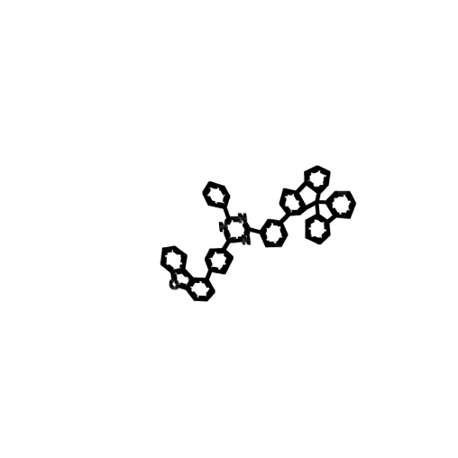 c1ccc(-c2nc(-c3ccc(-c4cccc5oc6ccccc6c45)cc3)nc(-c3cccc(-c4ccc5c(c4)C4(c6ccccc6-c6ccccc64)c4ccccc4-5)c3)n2)cc1